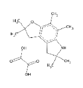 Cc1c(C)c2c(c3c1NC(C)(C)C3)CC(C)(C)O2.O=C(O)C(=O)O